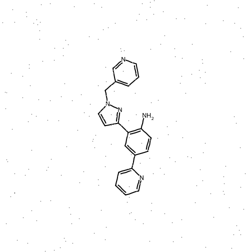 Nc1ccc(-c2ccccn2)cc1-c1ccn(Cc2cccnc2)n1